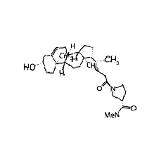 CNC(=O)[C@H]1CCN(C(=O)CC[C@@H](C)[C@H]2CC[C@H]3[C@@H]4CC=C5C[C@@H](O)CC[C@]5(C)[C@H]4CC[C@]23C)C1